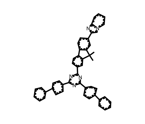 CC1(C)c2cc(-c3cn4ccccc4n3)ccc2-c2ccc(-c3nc(-c4ccc(-c5ccccc5)cc4)nc(-c4ccc(-c5ccccc5)cc4)n3)cc21